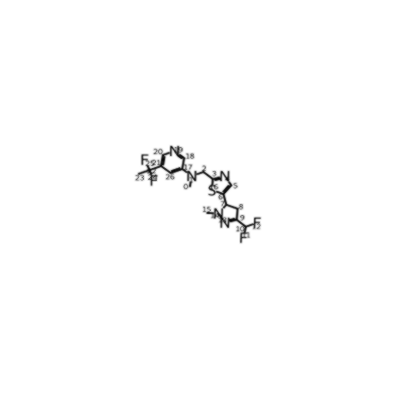 CN(Cc1ncc(C2CC(C(F)F)=NN2C)s1)c1cncc(C(C)(F)F)c1